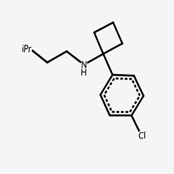 CC(C)CCNC1(c2ccc(Cl)cc2)CCC1